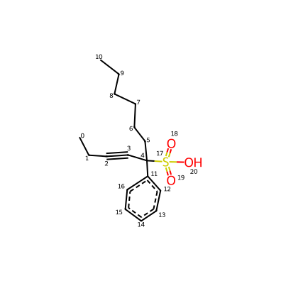 CCC#CC(CCCCCC)(c1ccccc1)S(=O)(=O)O